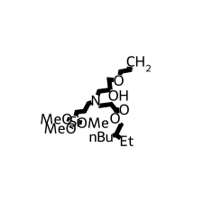 C=CCOCC(O)CN(CCC[Si](OC)(OC)OC)CCC(=O)OCC(CC)CCCC